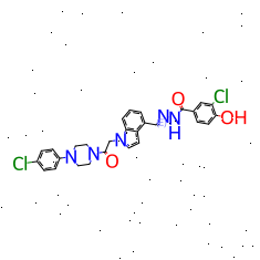 O=C(N/N=C/c1cccc2c1ccn2CC(=O)N1CCN(c2ccc(Cl)cc2)CC1)c1ccc(O)c(Cl)c1